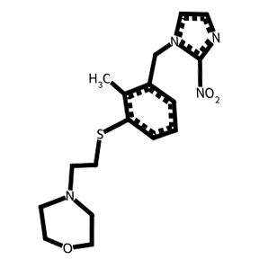 Cc1c(Cn2ccnc2[N+](=O)[O-])cccc1SCCN1CCOCC1